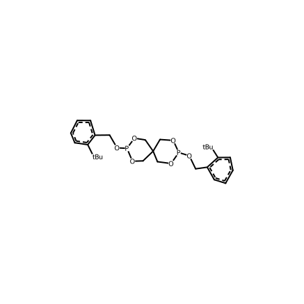 CC(C)(C)c1ccccc1COP1OCC2(CO1)COP(OCc1ccccc1C(C)(C)C)OC2